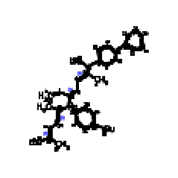 C=C/C(=C\C=C(/C)C(c1ccc(-c2ccccc2)cc1)C(C)(C)C)N(/C(C)=C/C=C(\C)C(C)(C)C)c1ccc(C(C)(C)C)cc1